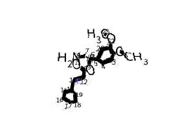 COc1ccc([C@@H](CN)OC(=O)/C=C/c2ccccc2)cc1OC